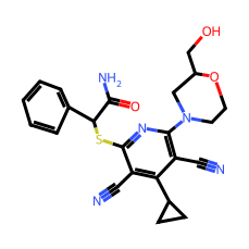 N#Cc1c(SC(C(N)=O)c2ccccc2)nc(N2CCOC(CO)C2)c(C#N)c1C1CC1